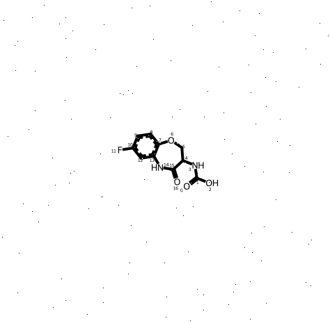 O=C(O)NC1COc2ccc(F)cc2NC1=O